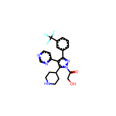 O=C(CO)n1nc(-c2cccc(C(F)(F)F)c2)c(-c2ccncn2)c1C1CCNCC1